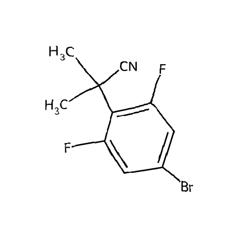 CC(C)(C#N)c1c(F)cc(Br)cc1F